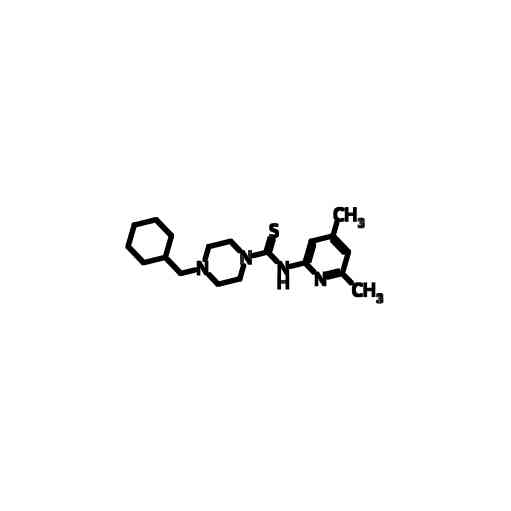 Cc1cc(C)nc(NC(=S)N2CCN(CC3CCCCC3)CC2)c1